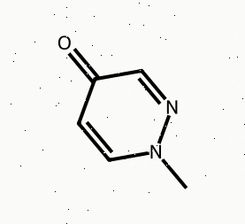 Cn1ccc(=O)cn1